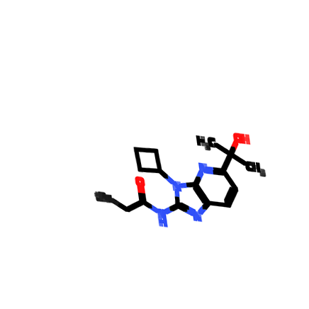 CC(C)(C)CC(=O)Nc1nc2ccc(C(C)(C)O)nc2n1C1CCC1